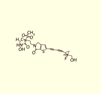 C[C@@](CCN1Cc2cc(C#CC#C[C@H]3C[C@]3(F)CO)sc2C1=O)(C(=O)NO)S(C)(=O)=O